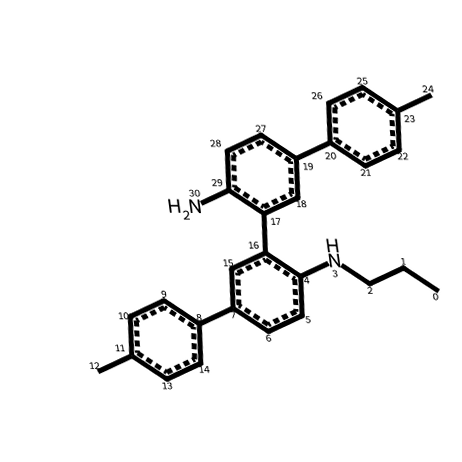 CCCNc1ccc(-c2ccc(C)cc2)cc1-c1cc(-c2ccc(C)cc2)ccc1N